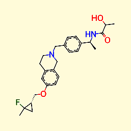 CC(O)C(=O)N[C@@H](C)c1ccc(CN2CCc3cc(OC[C@@H]4CC4(C)F)ccc3C2)cc1